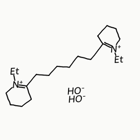 CC[N+]1=C(CCCCCCC2=[N+](CC)CCCC2)CCCC1.[OH-].[OH-]